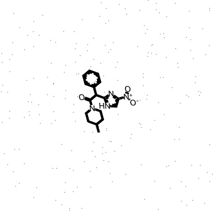 CC1CCN(C(=O)C(c2ccccc2)c2nc([N+](=O)[O-])c[nH]2)CC1